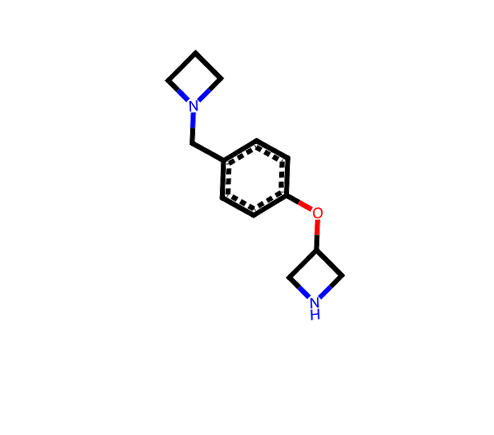 c1cc(OC2CNC2)ccc1CN1CCC1